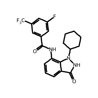 O=C(Nc1cccc2c(=O)[nH]n(C3CCCCC3)c12)c1cc(F)cc(C(F)(F)F)c1